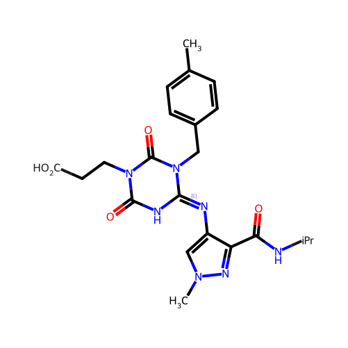 Cc1ccc(Cn2c(=O)n(CCC(=O)O)c(=O)[nH]/c2=N\c2cn(C)nc2C(=O)NC(C)C)cc1